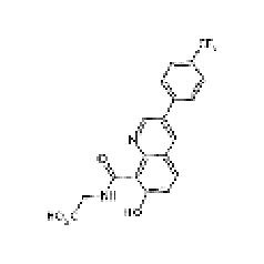 O=C(O)CNC(=O)c1c(O)ccc2cc(-c3ccc(C(F)(F)F)cc3)cnc12